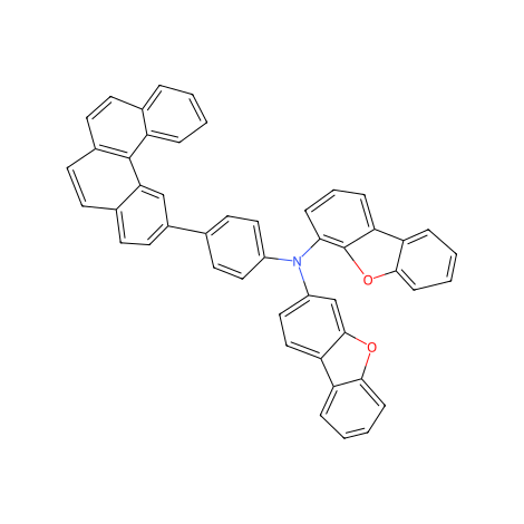 c1ccc2c(c1)ccc1ccc3ccc(-c4ccc(N(c5ccc6c(c5)oc5ccccc56)c5cccc6c5oc5ccccc56)cc4)cc3c12